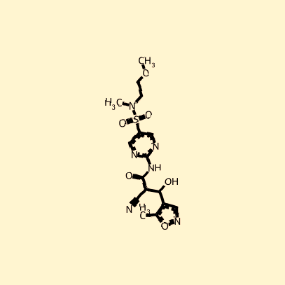 COCCN(C)S(=O)(=O)c1cnc(NC(=O)C(C#N)C(O)c2cnoc2C)nc1